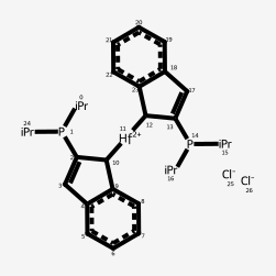 CC(C)P(C1=Cc2ccccc2[CH]1[Hf+2][CH]1C(P(C(C)C)C(C)C)=Cc2ccccc21)C(C)C.[Cl-].[Cl-]